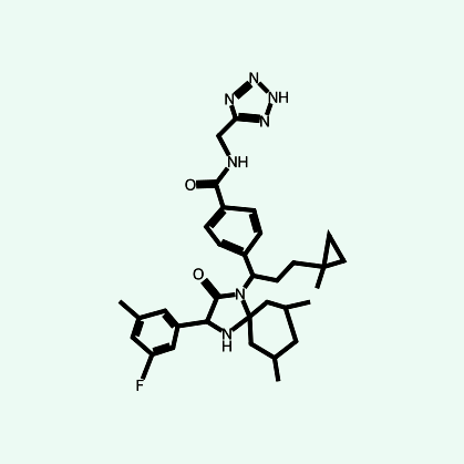 Cc1cc(F)cc(C2NC3(CC(C)CC(C)C3)N(C(CCC3(C)CC3)c3ccc(C(=O)NCc4nn[nH]n4)cc3)C2=O)c1